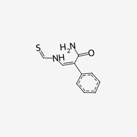 NC(=O)/C(=C\NC=S)c1ccccc1